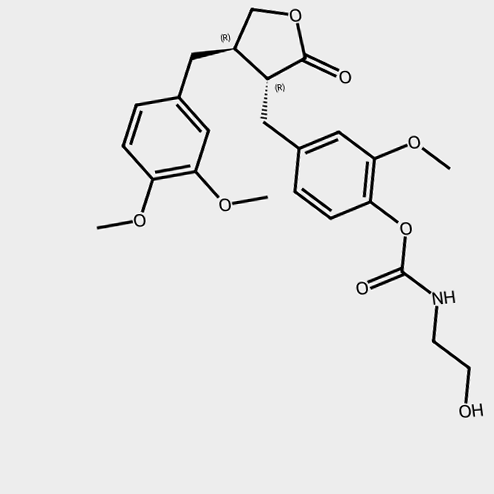 COc1ccc(C[C@H]2COC(=O)[C@@H]2Cc2ccc(OC(=O)NCCO)c(OC)c2)cc1OC